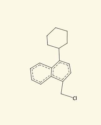 ClCc1ccc(C2CCCCC2)c2ccccc12